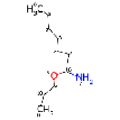 CCCCCCC(N)OCCC